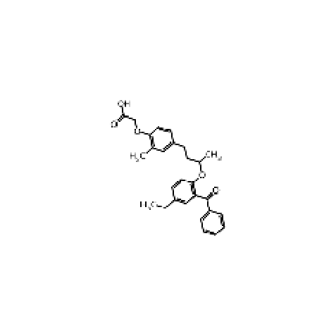 CCc1ccc(OC(C)CCc2ccc(OCC(=O)O)c(C)c2)c(C(=O)c2ccccc2)c1